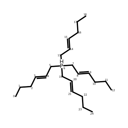 CCCC=CC[PH](CC=CCCC)(CC=CCCC)CC=CCCC